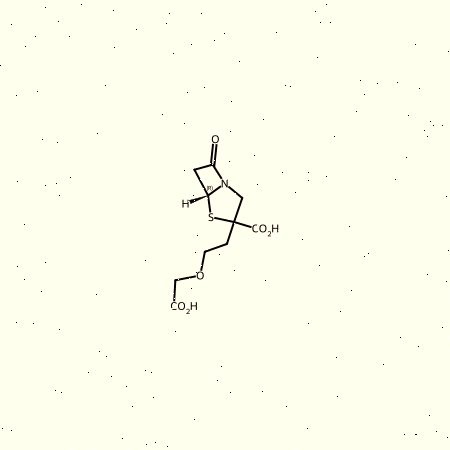 O=C(O)COCCC1(C(=O)O)CN2C(=O)C[C@H]2S1